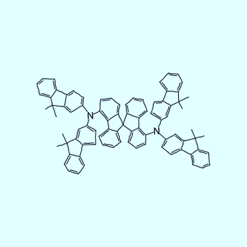 CC1(C)c2ccccc2-c2ccc(N(c3ccc4c(c3)C(C)(C)c3ccccc3-4)c3cccc4c3-c3ccccc3C43c4ccccc4-c4c(N(c5ccc6c(c5)C(C)(C)c5ccccc5-6)c5ccc6c(c5)C(C)(C)c5ccccc5-6)cccc43)cc21